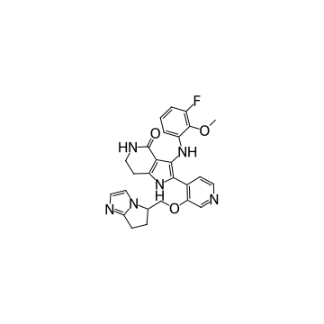 COc1c(F)cccc1Nc1c(-c2ccncc2OCC2CCc3nccn32)[nH]c2c1C(=O)NCC2